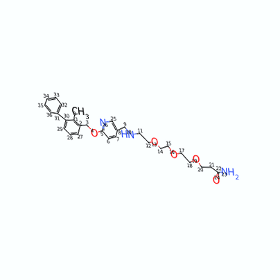 Cc1c(COc2ccc(CNCCOCCOCCOCCC(N)=O)cn2)cccc1-c1ccccc1